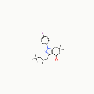 CC(Cc1nn(-c2ccc(I)cc2)c2c1C(=O)CC(C)(C)C2)CC(C)(C)C